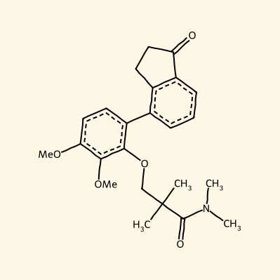 COc1ccc(-c2cccc3c2CCC3=O)c(OCC(C)(C)C(=O)N(C)C)c1OC